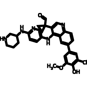 COc1cc(-c2ccc3ncc(C4(C=O)CC4)c(Nc4ccc(NC5CCCNC5)nc4)c3c2)cc(Cl)c1O